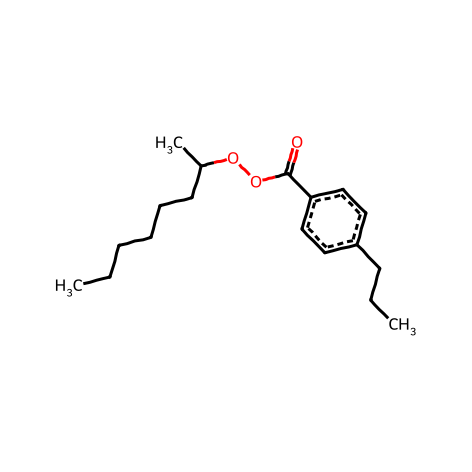 CCCCCC[C](C)OOC(=O)c1ccc(CCC)cc1